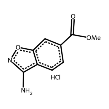 COC(=O)c1ccc2c(N)noc2c1.Cl